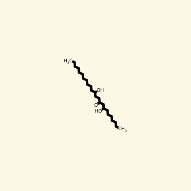 CCCCCCCCCCCC(O)CCC(=O)CC(O)CCCCCCC